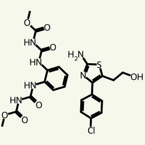 COC(=O)NC(=O)Nc1ccccc1NC(=O)NC(=O)OC.Nc1nc(-c2ccc(Cl)cc2)c(CCO)s1